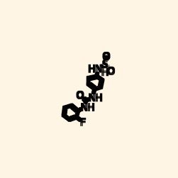 O=C(Nc1ccc(N[SH](=O)=O)cc1)Nc1ccccc1F